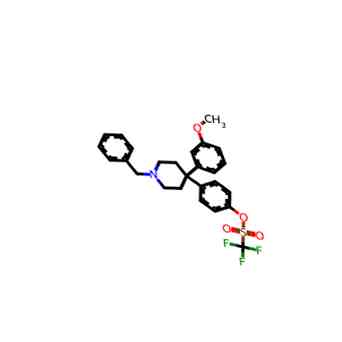 COc1cccc(C2(c3ccc(OS(=O)(=O)C(F)(F)F)cc3)CCN(Cc3ccccc3)CC2)c1